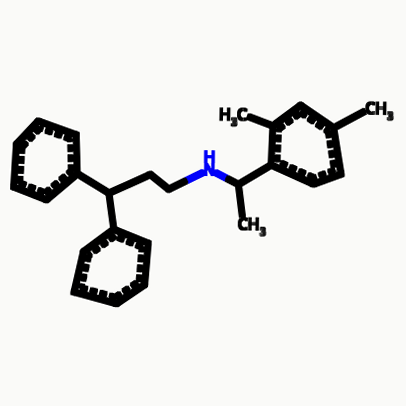 Cc1ccc(C(C)NCCC(c2ccccc2)c2ccccc2)c(C)c1